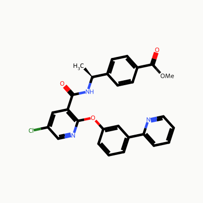 COC(=O)c1ccc([C@H](C)NC(=O)c2cc(Cl)cnc2Oc2cccc(-c3ccccn3)c2)cc1